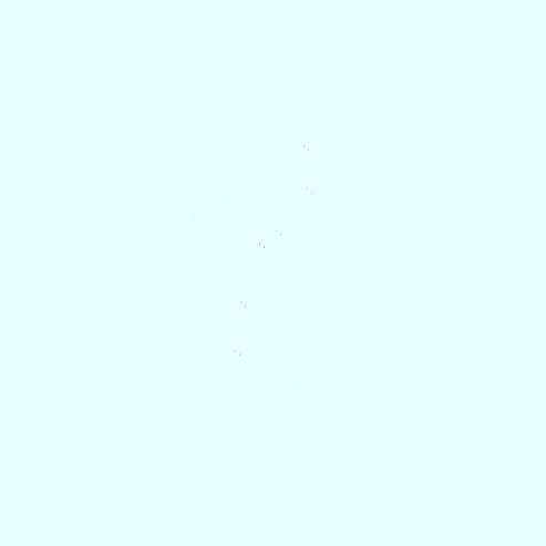 Cc1cccc(N2CCN(C(=O)Cn3nc(C(=O)N4CCCCC4N4CCCC4=O)c4c3C[C@H]3C[C@@H]43)CC2)c1C